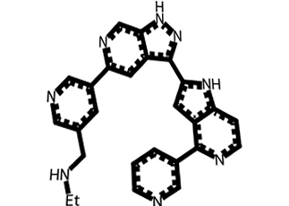 CCNCc1cncc(-c2cc3c(-c4cc5c(-c6cccnc6)nccc5[nH]4)n[nH]c3cn2)c1